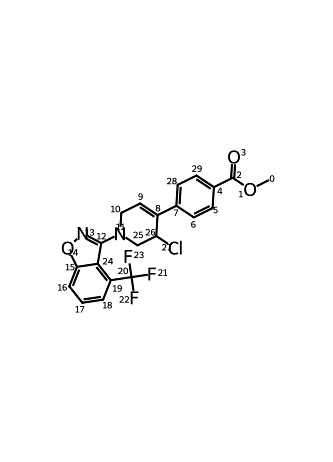 COC(=O)c1ccc(C2=CCN(c3noc4cccc(C(F)(F)F)c34)CC2Cl)cc1